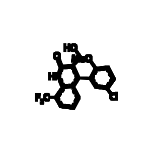 COc1ccc(Cl)cc1-c1c(CO)c(=O)[nH]c2c(C(F)(F)F)cccc12